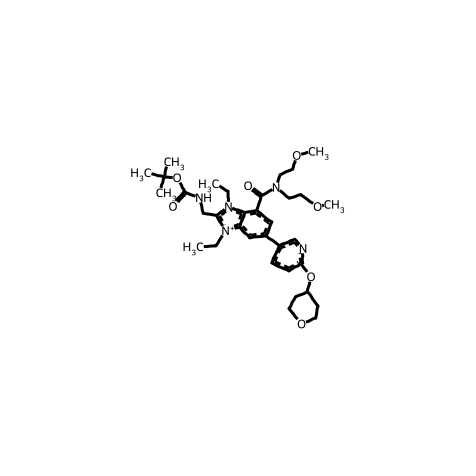 CCn1c(CNC(=O)OC(C)(C)C)[n+](CC)c2cc(-c3ccc(OC4CCOCC4)nc3)cc(C(=O)N(CCOC)CCOC)c21